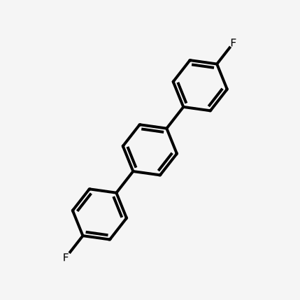 Fc1ccc(-c2ccc(-c3ccc(F)cc3)cc2)cc1